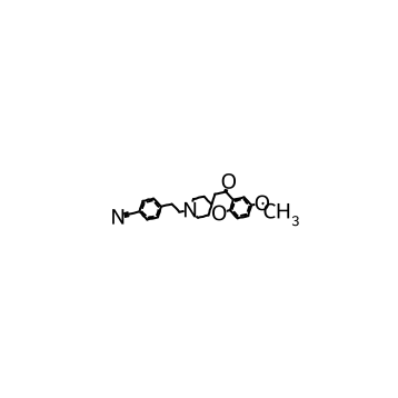 COc1ccc2c(c1)C(=O)CC1(CCN(CCc3ccc(C#N)cc3)CC1)O2